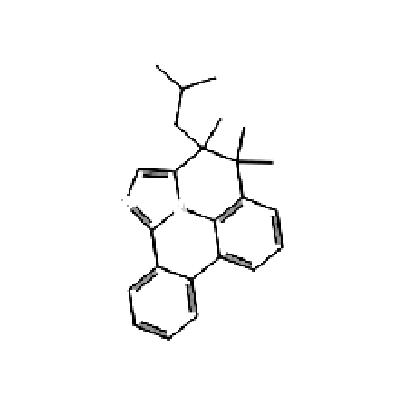 CC(C)CC1(C)c2cnc3c4ccccc4c4cccc(c4n23)C1(C)C